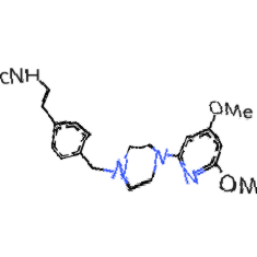 COc1cc(OC)nc(N2CCN(Cc3ccc(CCNC(C)=O)cc3)CC2)c1